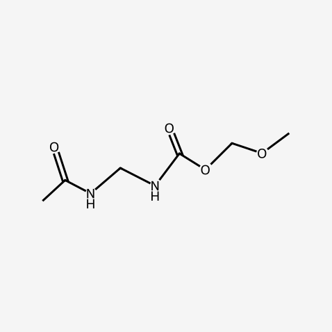 COCOC(=O)NCNC(C)=O